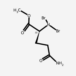 COC(=O)[C@H](CCC(N)=O)N(Br)Br